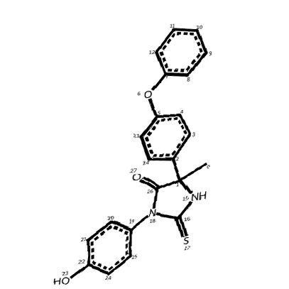 CC1(c2ccc(Oc3ccccc3)cc2)NC(=S)N(c2ccc(O)cc2)C1=O